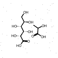 CC(O)C(=O)O.O=C(O)[C@H](O)[C@@H](O)[C@H](O)[C@H](O)CO